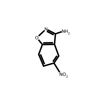 Nc1noc2ccc([N+](=O)[O-])cc12